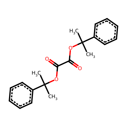 CC(C)(OC(=O)C(=O)OC(C)(C)c1ccccc1)c1ccccc1